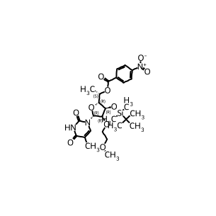 COCCO[C@@H]1[C@H](O[Si](C)(C)C(C)(C)C)[C@@H]([C@H](C)OC(=O)c2ccc([N+](=O)[O-])cc2)O[C@H]1n1cc(C)c(=O)[nH]c1=O